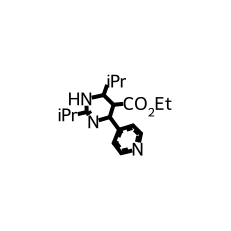 CCOC(=O)C1C(c2ccncc2)N=C(C(C)C)NC1C(C)C